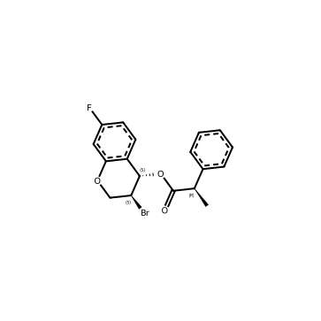 C[C@@H](C(=O)O[C@H]1c2ccc(F)cc2OC[C@@H]1Br)c1ccccc1